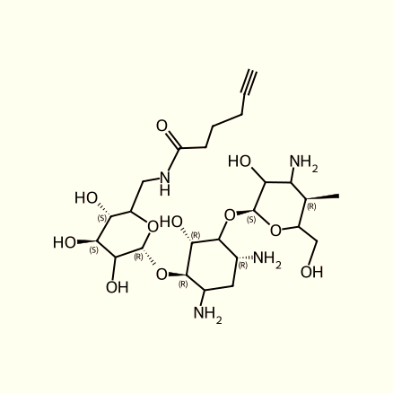 C#CCCCC(=O)NCC1O[C@H](O[C@@H]2C(N)C[C@@H](N)C(O[C@@H]3OC(CO)[C@H](C)C(N)C3O)[C@H]2O)C(O)[C@@H](O)[C@@H]1O